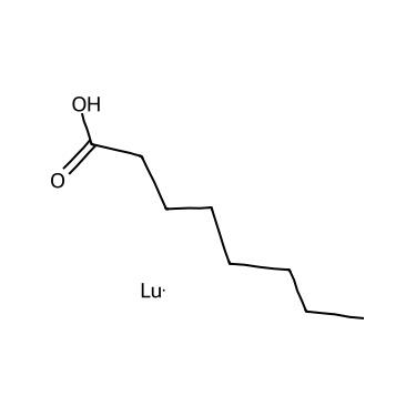 CCCCCCCC(=O)O.[Lu]